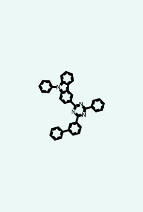 c1ccc(-c2cccc(-c3nc(-c4ccccc4)nc(-c4ccc5c(c4)c4ccccc4n5-c4ccccc4)n3)c2)cc1